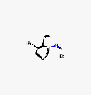 C=Cc1c(/N=C\CC)cccc1C(C)C